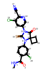 CNC(=O)c1ccc(N2C(=S)N(c3cnc(C#N)c(Cl)c3)C(=O)C23CCC3)cc1F